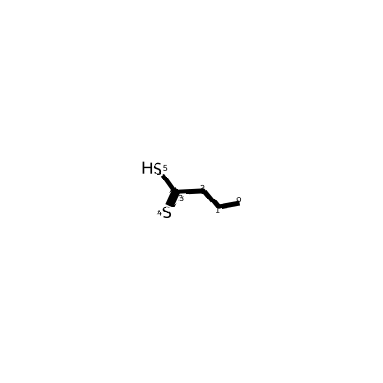 CCCC(=S)S